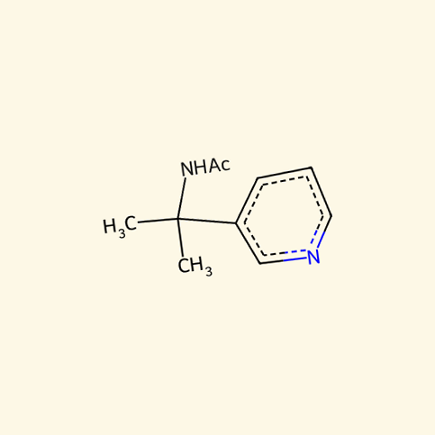 CC(=O)NC(C)(C)c1cccnc1